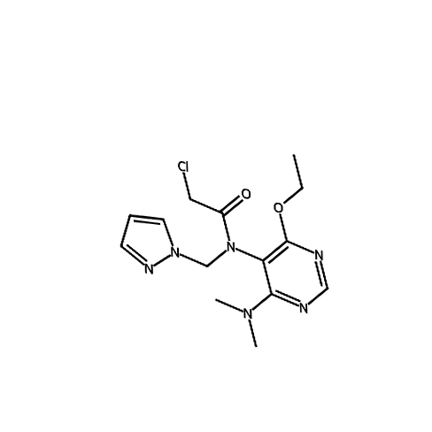 CCOc1ncnc(N(C)C)c1N(Cn1cccn1)C(=O)CCl